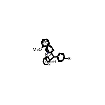 COc1ccccc1/C=N/[C@@H]1C2CCN(CC2)[C@H]1C(c1ccc(Br)cc1)c1ccc(Br)cc1